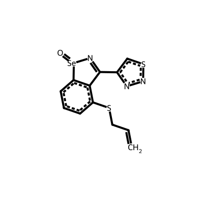 C=CCSc1cccc2c1C(c1csnn1)=N[Se]2=O